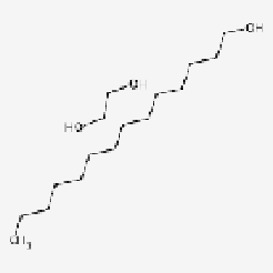 CCCCCCCCCCCCCCO.OCCO